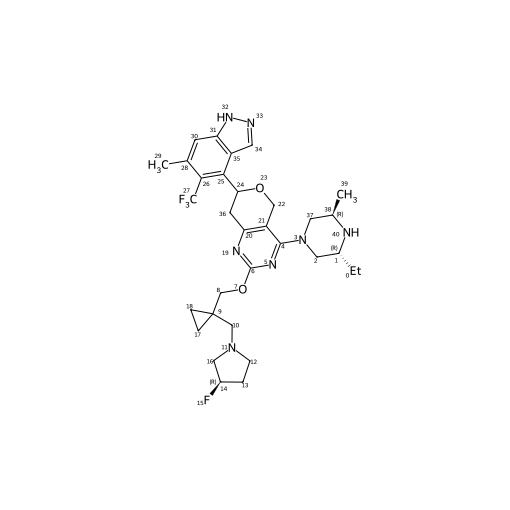 CC[C@@H]1CN(c2nc(OCC3(CN4CC[C@@H](F)C4)CC3)nc3c2COC(c2c(C(F)(F)F)c(C)cc4[nH]ncc24)C3)C[C@@H](C)N1